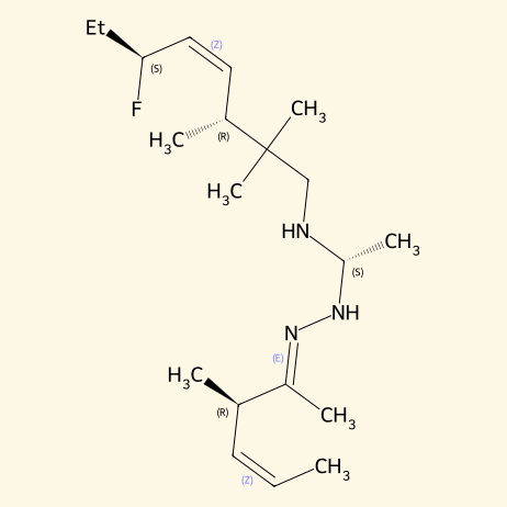 C/C=C\[C@@H](C)/C(C)=N/N[C@@H](C)NCC(C)(C)[C@H](C)/C=C\[C@@H](F)CC